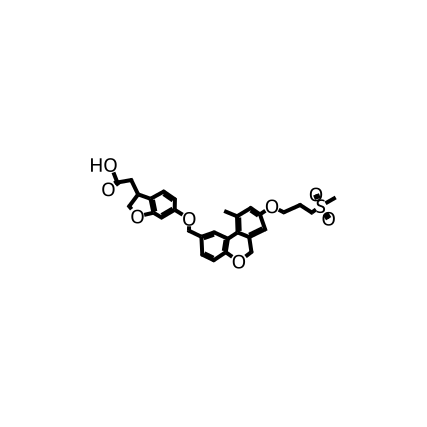 Cc1cc(OCCCS(C)(=O)=O)cc2c1-c1cc(COc3ccc4c(c3)OCC4CC(=O)O)ccc1OC2